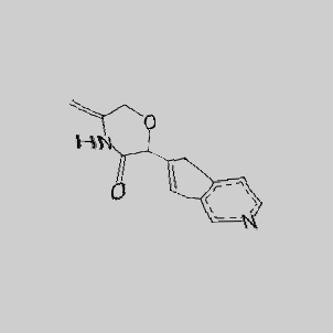 C=C1COC(C2=Cc3cnccc3C2)C(=O)N1